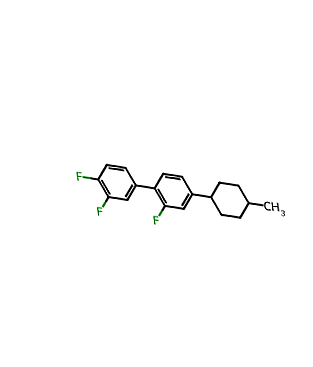 CC1CCC(c2ccc(-c3ccc(F)c(F)c3)c(F)c2)CC1